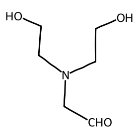 O=CCN(CCO)CCO